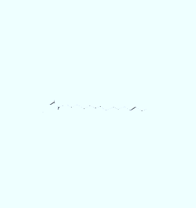 C=C(F)C(=O)OCCCCCCCCCCC=CCC